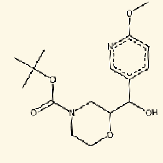 COc1ccc(C(O)C2CN(C(=O)OC(C)(C)C)CCO2)cn1